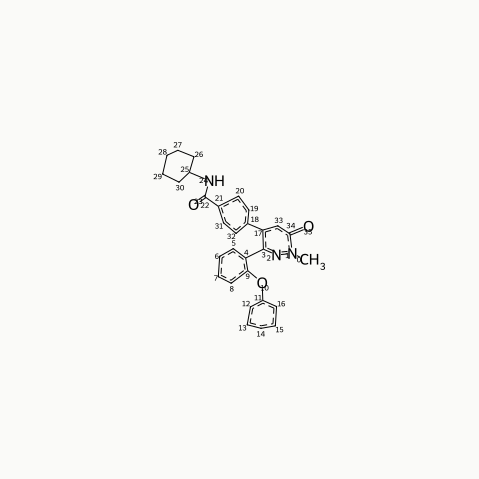 Cn1nc(-c2ccccc2Oc2ccccc2)c(-c2ccc(C(=O)NC3CCCCC3)cc2)cc1=O